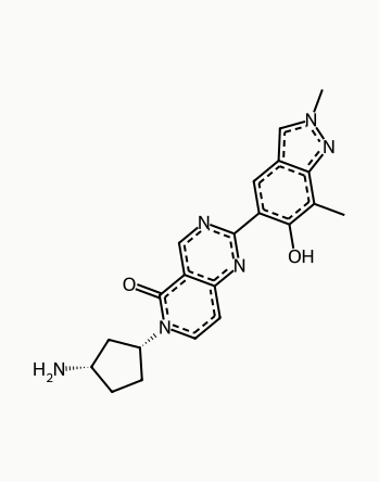 Cc1c(O)c(-c2ncc3c(=O)n([C@@H]4CC[C@H](N)C4)ccc3n2)cc2cn(C)nc12